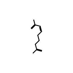 C=C(C)/C=C\CCCC(=C)C